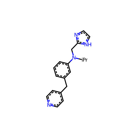 CC(C)N(Cc1ncc[nH]1)c1cccc(Cc2ccncc2)c1